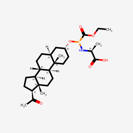 CCOC(=O)P(N[C@@H](C)C(=O)O)O[C@@H]1CC[C@@]2(C)[C@@H](CC[C@@H]3[C@@H]2CC[C@]2(C)[C@@H](C(C)=O)CC[C@@H]32)C1